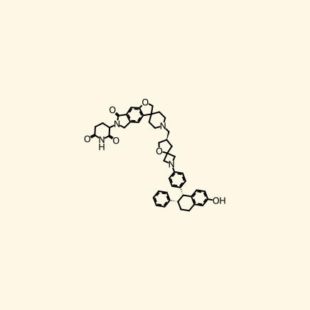 O=C1CCC(N2Cc3cc4c(cc3C2=O)OCC42CCN(C[C@@H]3COC4(C3)CN(c3ccc([C@@H]5c6ccc(O)cc6CC[C@@H]5c5ccccc5)cc3)C4)CC2)C(=O)N1